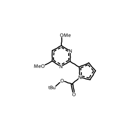 COc1cc(OC)nc(-c2cccn2C(=O)OC(C)(C)C)n1